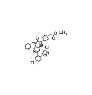 CCOC(=O)Cc1ccc(NC(=O)[C@H](Cc2ccccc2)n2cnc(-c3cc(Cl)ccc3-n3cc(Cl)nn3)cc2=O)cc1